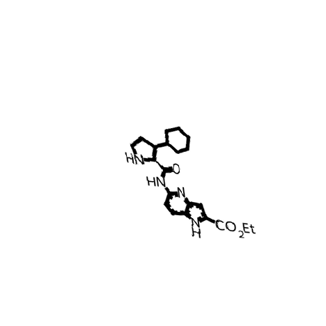 CCOC(=O)c1cc2nc(NC(=O)[C@H]3NCCC3C3CCCCC3)ccc2[nH]1